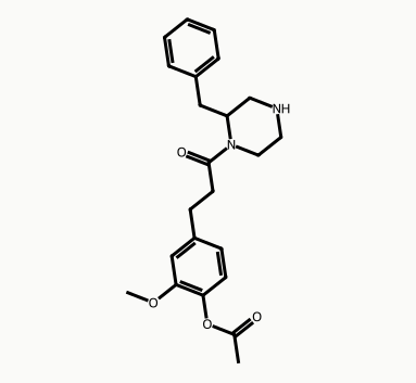 COc1cc(CCC(=O)N2CCNCC2Cc2ccccc2)ccc1OC(C)=O